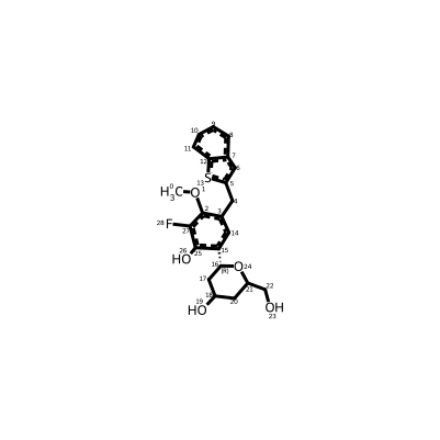 COc1c(Cc2cc3ccccc3s2)cc([C@H]2CC(O)CC(CO)O2)c(O)c1F